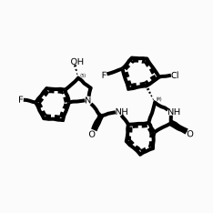 O=C1N[C@@H](c2cc(F)ccc2Cl)c2c(NC(=O)N3C[C@@H](O)c4cc(F)ccc43)cccc21